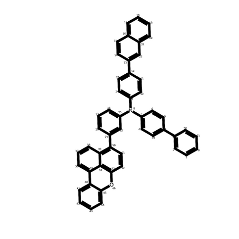 c1ccc(-c2ccc(N(c3ccc(-c4ccc5ccccc5c4)cc3)c3cccc(-c4ccc5c6c(cccc46)-c4ccccc4O5)c3)cc2)cc1